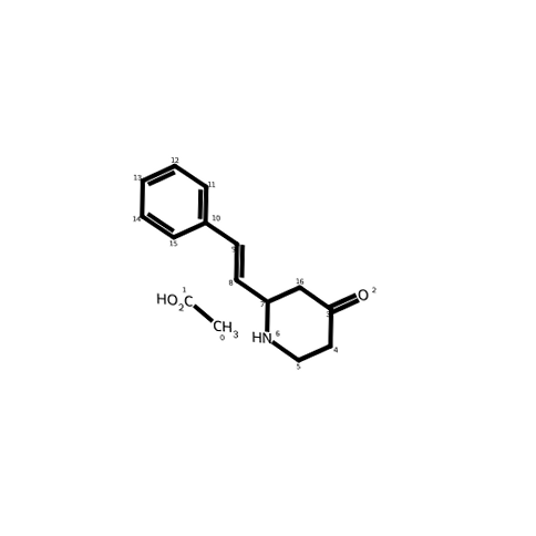 CC(=O)O.O=C1CCNC(C=Cc2ccccc2)C1